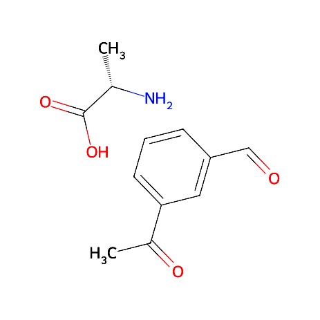 CC(=O)c1cccc(C=O)c1.C[C@H](N)C(=O)O